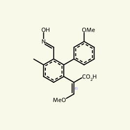 CO/C=C(/C(=O)O)c1ccc(C)c(C=NO)c1-c1cccc(OC)c1